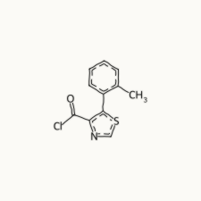 Cc1ccccc1-c1scnc1C(=O)Cl